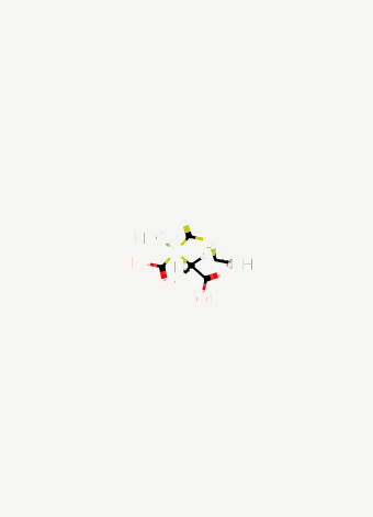 CCSC(=S)S(C)(C(=O)O)C(C)(C)C(=O)O